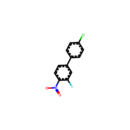 O=[N+]([O-])c1ccc(-c2ccc(Cl)cc2)cc1F